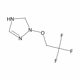 FC(F)(F)CON1CNC=N1